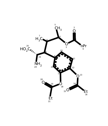 CCCC(=O)OC(C)C(C)C(c1ccc(OC(=O)CC)c(OC(=O)CC)c1)[C@H](N)C(=O)O